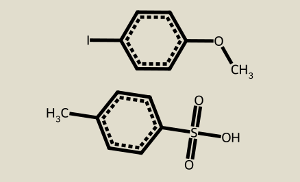 COc1ccc(I)cc1.Cc1ccc(S(=O)(=O)O)cc1